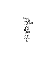 ClC1=CCC(CNc2ccc(Cc3c[nH]c4ncc(Br)cc34)cn2)C=C1